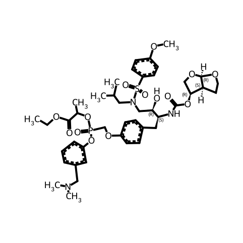 CCOC(=O)C(C)OP(=O)(COc1ccc(C[C@H](NC(=O)O[C@H]2CO[C@H]3OCC[C@H]32)[C@H](O)CN(CC(C)C)S(=O)(=O)c2ccc(OC)cc2)cc1)Oc1cccc(CN(C)C)c1